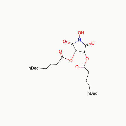 CCCCCCCCCCCCCC(=O)OC1C(=O)N(O)C(=O)C1OC(=O)CCCCCCCCCCCCC